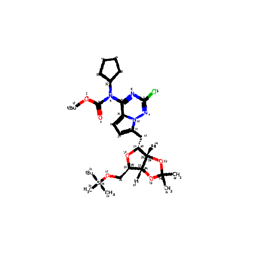 CC(C)(C)OC(=O)N(c1nc(Cl)nn2c(C[C@H]3O[C@H](CO[Si](C)(C)C(C)(C)C)[C@H]4OC(C)(C)O[C@H]43)ccc12)C1CCCC1